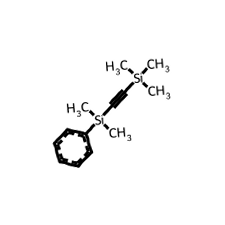 C[Si](C)(C)C#C[Si](C)(C)c1ccccc1